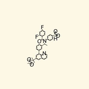 CC(c1cccc(-c2cc(C(C)(C)S(C)(=O)=O)cc3cccnc23)c1)N(C(=O)c1ccc(F)cc1F)c1ccc([SH](=O)=O)cc1